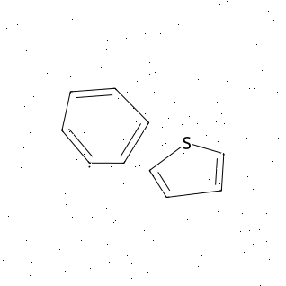 [c]1ccccc1.c1ccsc1